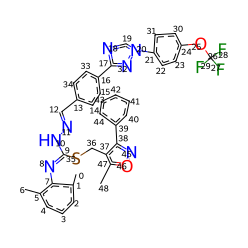 Cc1cccc(C)c1/N=C(/N/N=C/c1ccc(-c2ncn(-c3ccc(OC(F)(F)F)cc3)n2)cc1)SCc1c(-c2ccccc2)noc1C